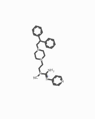 N#CN(CCN1CCN(CC(c2ccccc2)c2ccccc2)CC1)/C(N)=N/c1ccncc1